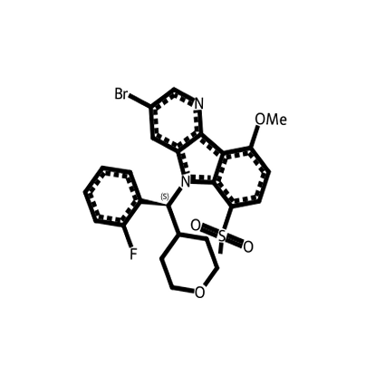 COc1ccc(S(C)(=O)=O)c2c1c1ncc(Br)cc1n2[C@H](c1ccccc1F)C1CCOCC1